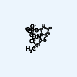 CC[n+]1c(C=C(C)Cl)sc2ccccc21.[O-][Cl+3]([O-])([O-])[O-]